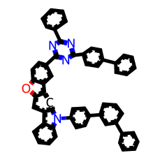 c1ccc(-c2ccc(-c3nc(-c4ccccc4)nc(-c4ccc5oc6cc7c8ccccc8n(-c8ccc(-c9cccc(-c%10ccccc%10)c9)cc8)c7cc6c5c4)n3)cc2)cc1